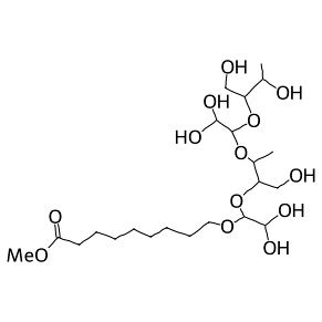 COC(=O)CCCCCCCCOC(OC(CO)C(C)OC(OC(CO)C(C)O)C(O)O)C(O)O